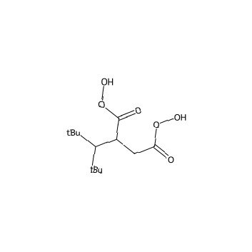 CC(C)(C)C(C(CC(=O)OO)C(=O)OO)C(C)(C)C